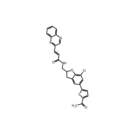 CC(=O)c1ccc(-c2cc(Cl)c3c(c2)CC(CNC(=O)/C=C/c2cnc4ccccc4n2)O3)s1